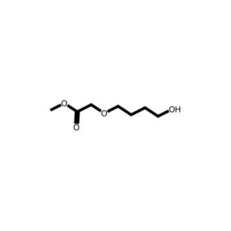 COC(=O)COCCCCO